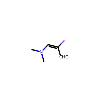 CN(C)/C=C(/I)C=O